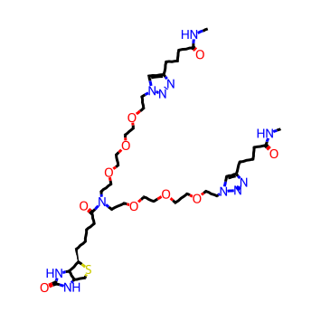 CNC(=O)CCCc1cn(CCOCCOCCOCCN(CCOCCOCCOCCn2cc(CCCC(=O)NC)nn2)C(=O)CCCC[C@H]2SCC3NC(=O)NC32)nn1